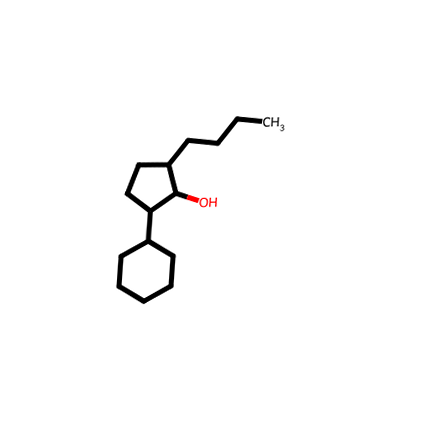 CCCCC1CCC(C2CCCCC2)C1O